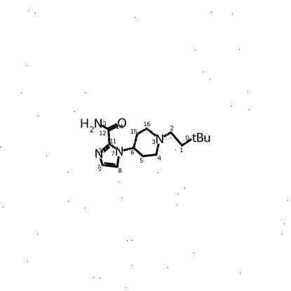 CC(C)(C)CCN1CCC(n2c[c]nc2C(N)=O)CC1